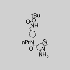 CCCN(C[C@H]1CC[C@H](CNC(=O)OC(C)(C)C)CC1)C(=O)C1=Cc2sccc2N=C(N)C1